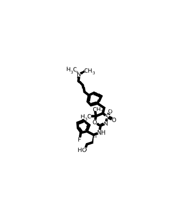 CN(C)CCCc1ccc(CC2C(C)(C)OC(N[C@@H](CCO)c3ccccc3F)=NS2(=O)=O)cc1